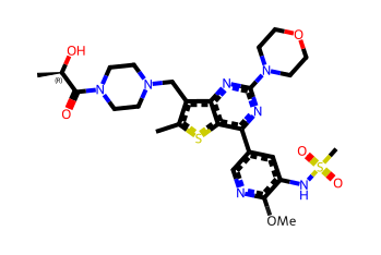 COc1ncc(-c2nc(N3CCOCC3)nc3c(CN4CCN(C(=O)[C@@H](C)O)CC4)c(C)sc23)cc1NS(C)(=O)=O